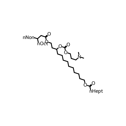 CCCCCCCCCC(CCCCCCCC)CC(=O)OCCC(CCCCCCCCCCOC(=O)CCCCCCC)OC(=O)OCCCN(C)C